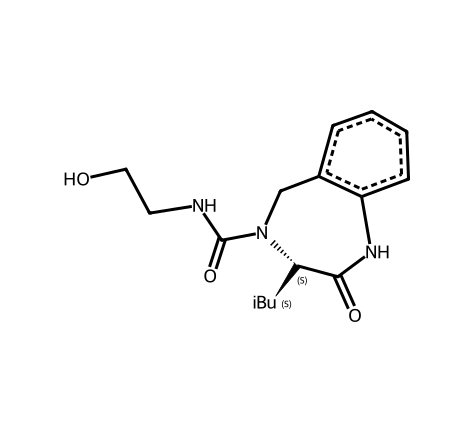 CC[C@H](C)[C@H]1C(=O)Nc2ccccc2CN1C(=O)NCCO